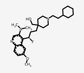 COc1ccc2ncc(N(C)C)c([C@H](F)CCC3(CO)CCN(CCC4CCCCC4)CC3)c2c1